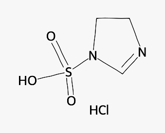 Cl.O=S(=O)(O)N1C=NCC1